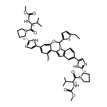 CCc1ccc(C2Oc3cc(-c4cnc([C@@H]5CCCN5C(=O)[C@@H](NC(=O)OC)C(C)C)[nH]4)cc(F)c3-c3cc4cc(-c5cnc([C@@H]6CCCN6C(=O)[C@@H](NC(=O)OC)C(C)C)[nH]5)ccc4n32)s1